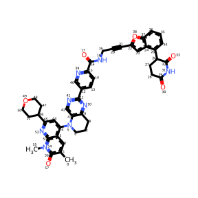 Cc1cc2c(N3CCCc4nc(-c5ccc(C(=O)NCC#Cc6cc7c(C8CCC(=O)NC8=O)cccc7o6)nc5)ncc43)cc(C3CCOCC3)nc2n(C)c1=O